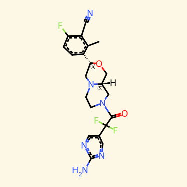 Cc1c([C@H]2CN3CCN(C(=O)C(F)(F)c4cnc(N)nc4)C[C@H]3CO2)ccc(F)c1C#N